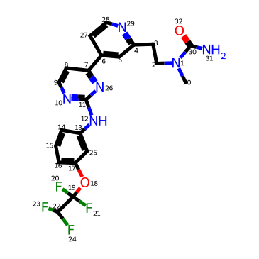 CN(CCc1cc(-c2ccnc(Nc3cccc(OC(F)(F)C(F)F)c3)n2)ccn1)C(N)=O